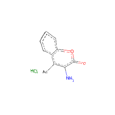 CC(=O)c1c(N)c(=O)oc2ccccc12.Cl